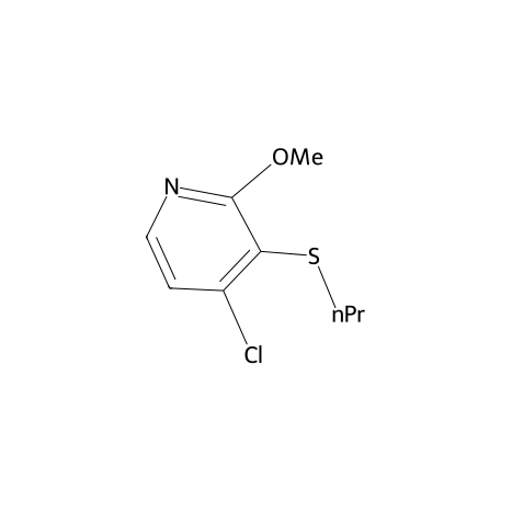 CCCSc1c(Cl)ccnc1OC